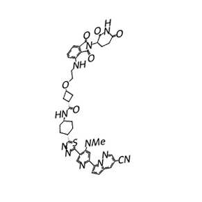 CNc1cc(-c2ccc3cc(C#N)cnn23)ncc1-c1nnc([C@H]2CC[C@H](NC(=O)[C@H]3C[C@@H](OCCNc4cccc5c4C(=O)N(C4CCC(=O)NC4=O)C5=O)C3)CC2)s1